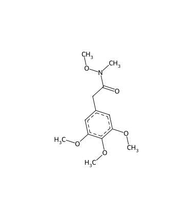 COc1cc(CC(=O)N(C)OC)cc(OC)c1OC